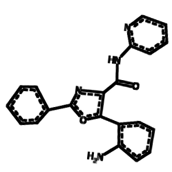 Nc1ccccc1-c1oc(-c2ccccc2)nc1C(=O)Nc1ccccn1